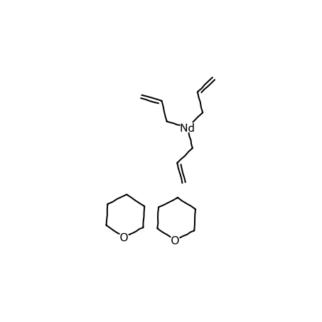 C1CCOCC1.C1CCOCC1.C=C[CH2][Nd]([CH2]C=C)[CH2]C=C